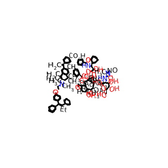 C=C(c1ccc(C(=O)O)cc1)c1cc2c(cc1C)C(C)(C)CCC2(C)C.CC(=O)O[C@H]1C(=O)[C@@]2(C)[C@H]([C@H](OC(=O)c3ccccc3)[C@]3(O)C[C@H](OC(=O)[C@H](O)[C@@H](NC(=O)c4ccccc4)c4ccccc4)C(C)=C1C3(C)C)[C@]1(OC(C)=O)CO[C@@H]1C[C@@H]2O.CC/C(=C(\c1ccccc1)c1ccc(OCCN(C)C)cc1)c1ccccc1.CN(N=O)C(=O)N[C@@H]1[C@@H](O)[C@H](O)[C@@H](CO)O[C@@H]1O